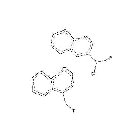 FC(F)c1ccc2ccccc2c1.FCc1cccc2ccccc12